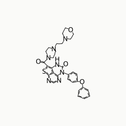 O=C(c1sc2ncnc3c2c1NC(=O)N3c1ccc(Oc2ccccc2)cc1)N1CCN(CCN2CCOCC2)CC1